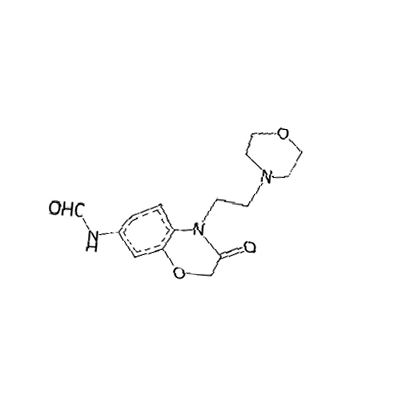 O=CNc1ccc2c(c1)OCC(=O)N2CCN1CCOCC1